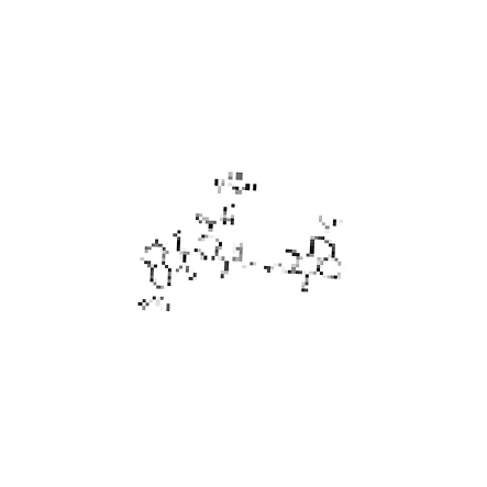 CN(C)CCNC(=O)c1cc(C(=O)NCCNCCN2C(=O)c3cccc4cc([N+](=O)[O-])cc(c34)C2=O)cc(N2C(=O)c3cccc4cc([N+](=O)[O-])cc(c34)C2=O)c1.Cl